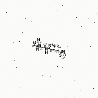 Cc1nnc(-c2ccc3cnc(NC(=O)CN4C[C@H]5C[C@@H]4CO5)cc3c2)s1